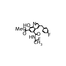 COC(=O)c1cc(C(=O)NC(C)F)c2cc(Cc3ccc(F)cc3)cnc2c1O